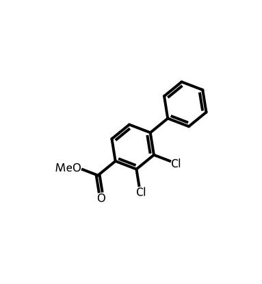 COC(=O)c1ccc(-c2ccccc2)c(Cl)c1Cl